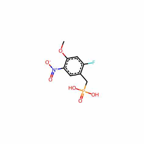 COc1cc(F)c(CP(=O)(O)O)cc1[N+](=O)[O-]